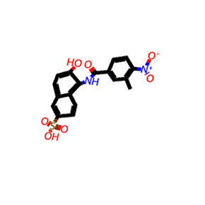 Cc1cc(C(=O)Nc2c(O)ccc3cc(S(=O)(=O)O)ccc23)ccc1[N+](=O)[O-]